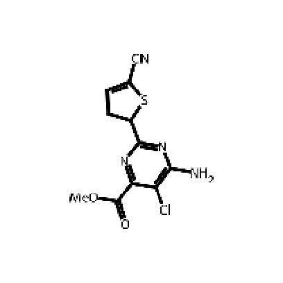 COC(=O)c1nc(C2CC=C(C#N)S2)nc(N)c1Cl